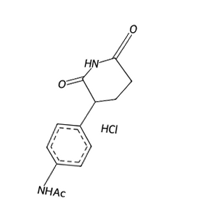 CC(=O)Nc1ccc(C2CCC(=O)NC2=O)cc1.Cl